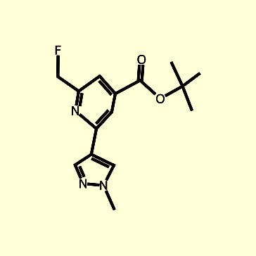 Cn1cc(-c2cc(C(=O)OC(C)(C)C)cc(CF)n2)cn1